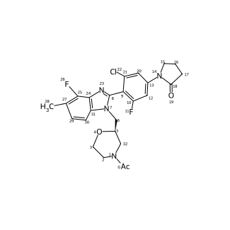 CC(=O)N1CCO[C@@H](Cn2c(-c3c(F)cc(N4CCCC4=O)cc3Cl)nc3c(F)c(C)ccc32)C1